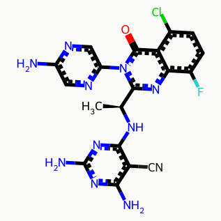 C[C@H](Nc1nc(N)nc(N)c1C#N)c1nc2c(F)ccc(Cl)c2c(=O)n1-c1cnc(N)cn1